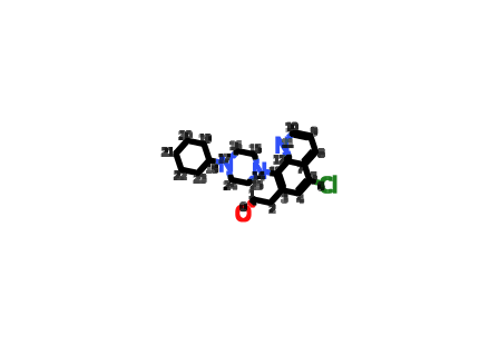 O=CCc1cc(Cl)c2cccnc2c1N1CCN(C2CCCCC2)CC1